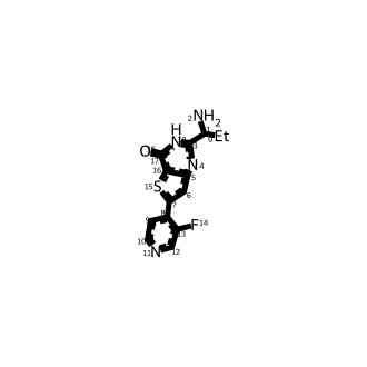 CCC(N)c1nc2cc(-c3ccncc3F)sc2c(=O)[nH]1